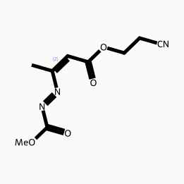 COC(=O)N=N/C(C)=C\C(=O)OCCC#N